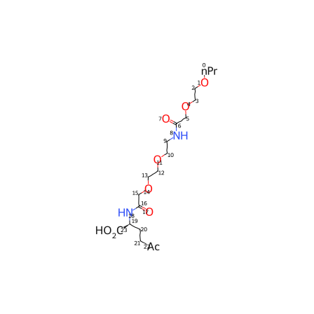 CCCOCCOCC(=O)NCCOCCOCC(=O)N[C@@H](CCC(C)=O)C(=O)O